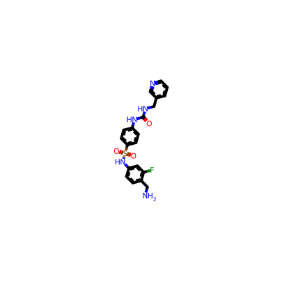 NCc1ccc(NS(=O)(=O)c2ccc(NC(=O)NCc3cccnc3)cc2)cc1F